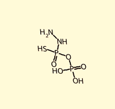 NNP(=O)(S)OP(=O)(O)O